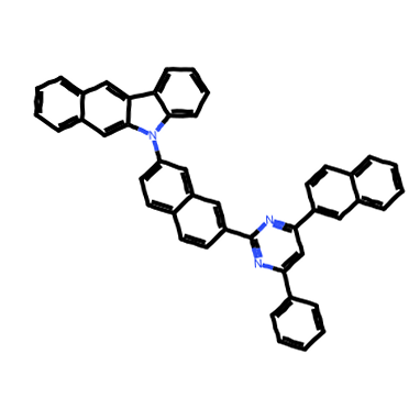 c1ccc(-c2cc(-c3ccc4ccccc4c3)nc(-c3ccc4ccc(-n5c6ccccc6c6cc7ccccc7cc65)cc4c3)n2)cc1